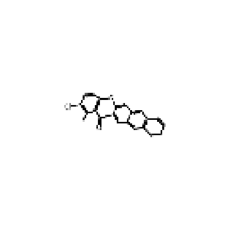 Cc1c(Cl)ccc2sc3cc4cc5c(cc4cc3c(=O)c12)CCC=C5